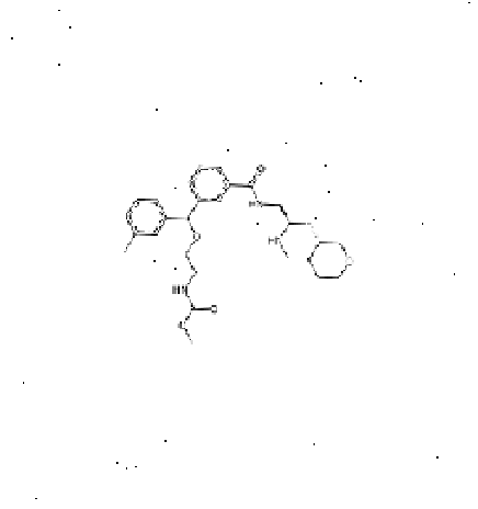 CN[C@@H](CNC(=O)c1cccc(C(OCCNC(=O)OC)c2cccc(C)c2)c1)C[C@H]1CCCOC1